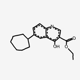 CCOC(=O)c1cnc2ccc(C3CCCCCC3)cc2c1O